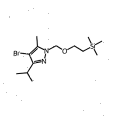 Cc1c(Br)c(C(C)C)nn1COCC[Si](C)(C)C